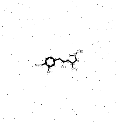 COc1ccc(C[C@@H](O)[C@@H]2CN(C=O)C[C@H]2C)cc1O